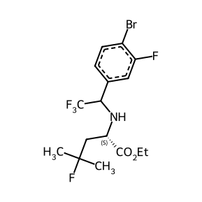 CCOC(=O)[C@H](CC(C)(C)F)NC(c1ccc(Br)c(F)c1)C(F)(F)F